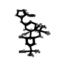 CCCCCCC(C)(C)c1cc(O)c2c(c1)OC(C)(C)[C@H]1CC=C(CN3CCN=C3SC)C[C@H]21